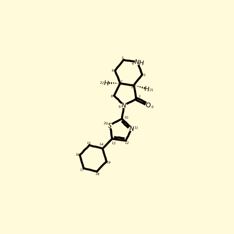 O=C1[C@@H]2CNCC[C@@H]2CN1c1ncc(C2CCCCC2)s1